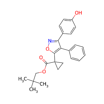 CC(C)(C)COC(=O)C1(c2onc(-c3ccc(O)cc3)c2-c2ccccc2)CC1